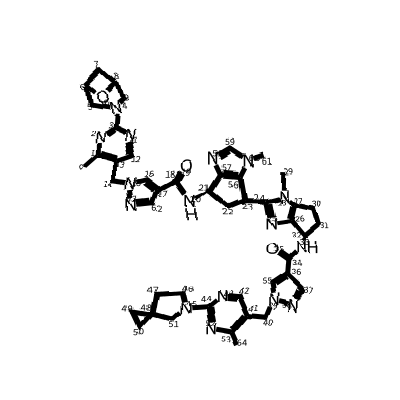 Cc1nc(N2CC3CC(C2)O3)ncc1Cn1cc(C(=O)N[C@@H]2CC(c3nc4c(n3C)CC[C@H]4NC(=O)c3cnn(Cc4cnc(N5CCC6(CC6)C5)nc4C)c3)c3c2ncn3C)cn1